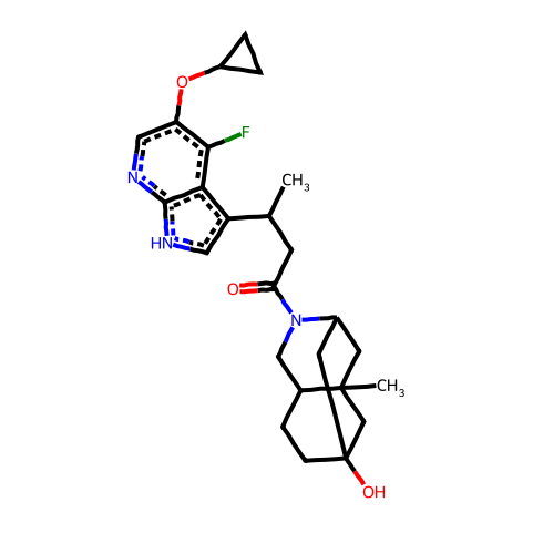 CC(CC(=O)N1CC2CCC3(O)CC1CC2(C)C3)c1c[nH]c2ncc(OC3CC3)c(F)c12